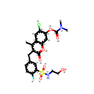 Cc1c(Cc2ccc(F)c(S(=O)(=O)NCCO)c2)c(=O)oc2cc(OC(=O)N(C)C)c(Cl)cc12